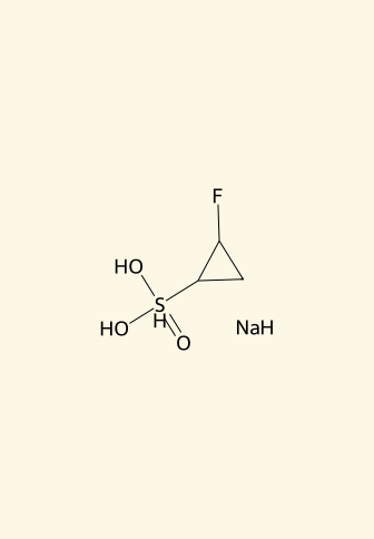 O=[SH](O)(O)C1CC1F.[NaH]